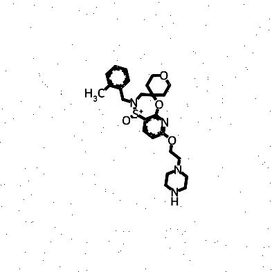 Cc1ccccc1CN1CC2(CCOCC2)Oc2nc(OCCN3CCNCC3)ccc2[S+]1[O-]